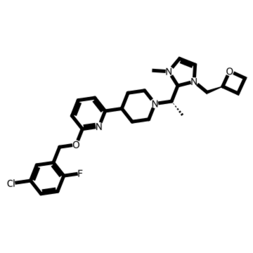 C[C@@H](C1N(C)C=CN1C[C@@H]1CCO1)N1CCC(c2cccc(OCc3cc(Cl)ccc3F)n2)CC1